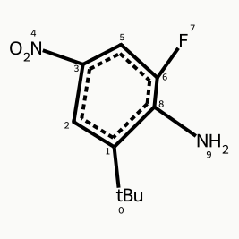 CC(C)(C)c1cc([N+](=O)[O-])cc(F)c1N